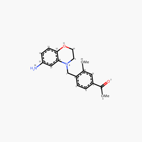 COC(=O)c1ccc(CN2CCOc3ccc(N)cc32)c(OC)c1